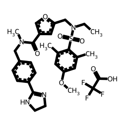 CCN(Cc1cc(C(=O)N(C)Cc2ccc(C3=NCCN3)cc2)co1)S(=O)(=O)c1c(C)cc(OC)cc1C.O=C(O)C(F)(F)F